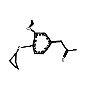 COc1cc(CC(C)=O)ccc1OC1CC1